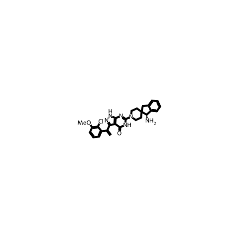 C=C(c1cccc(OC)c1Cl)c1n[nH]c2nc(N3CCC4(CC3)Cc3ccccc3[C@H]4N)[nH]c(=O)c12